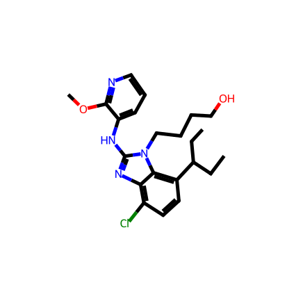 CCC(CC)c1ccc(Cl)c2nc(Nc3cccnc3OC)n(CCCCO)c12